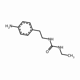 CCNC(=O)NCCc1ccc(N)cc1